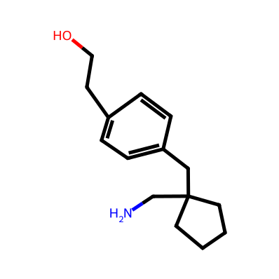 NCC1(Cc2ccc(CCO)cc2)CCCC1